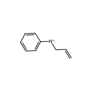 C=CC[N+]c1ccccc1